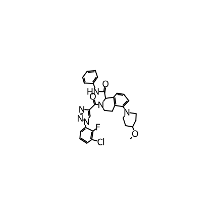 COC1CCN(c2cccc3c2CCN(C(=O)c2cn(-c4cccc(Cl)c4F)nn2)C3C(=O)Nc2ccccc2)CC1